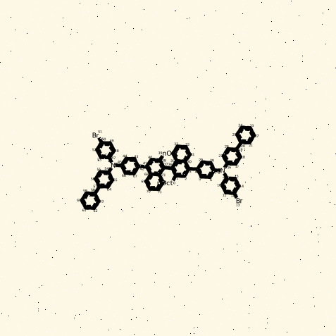 CCCCCCCCc1cc(-c2ccc(N(c3ccc(Br)cc3)c3ccc(-c4ccccc4)cc3)cc2)c2ccccc2c1-c1c(CCCCCCCC)cc(-c2ccc(N(c3ccc(Br)cc3)c3ccc(-c4ccccc4)cc3)cc2)c2ccccc12